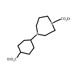 CCOC(=O)C1CCC(N2CCCN(C(=O)OCC)CC2)CC1